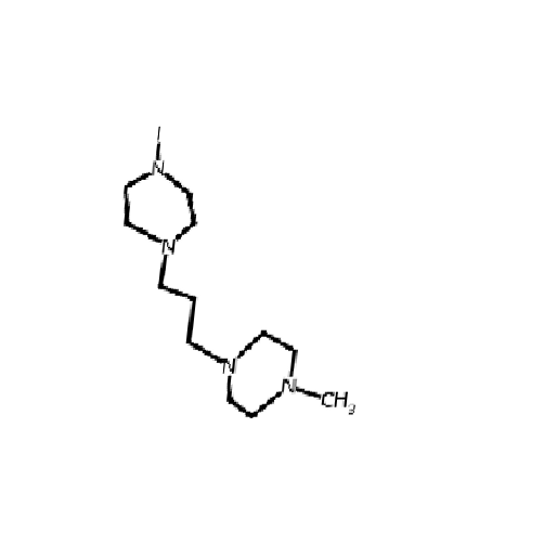 CN1CCN(CCCN2CCN(I)CC2)CC1